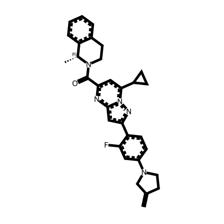 C=C1CCN(c2ccc(-c3cc4nc(C(=O)N5CCc6ccccc6[C@H]5C)cc(C5CC5)n4n3)c(F)c2)C1